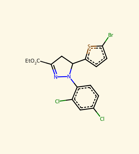 CCOC(=O)C1=NN(c2ccc(Cl)cc2Cl)C(c2ccc(Br)s2)C1